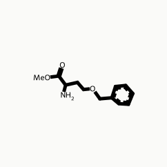 COC(=O)C(N)CCOCc1ccccc1